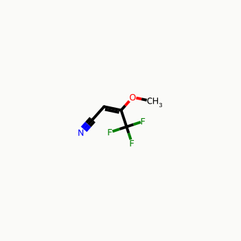 CO/C(=C/C#N)C(F)(F)F